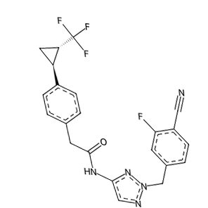 N#Cc1ccc(Cn2ncc(NC(=O)Cc3ccc([C@H]4C[C@@H]4C(F)(F)F)cc3)n2)cc1F